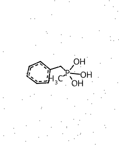 CP(O)(O)(O)Cc1ccccc1